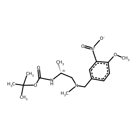 COc1ccc(CN(C)C[C@@H](C)NC(=O)OC(C)(C)C)cc1[N+](=O)[O-]